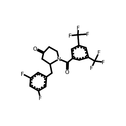 O=C1CCN(C(=O)c2cc(C(F)(F)F)cc(C(F)(F)F)c2)C(Cc2cc(F)cc(F)c2)C1